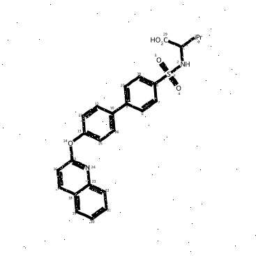 CC(C)C(NS(=O)(=O)c1ccc(-c2ccc(Oc3ccc4ccccc4n3)cc2)cc1)C(=O)O